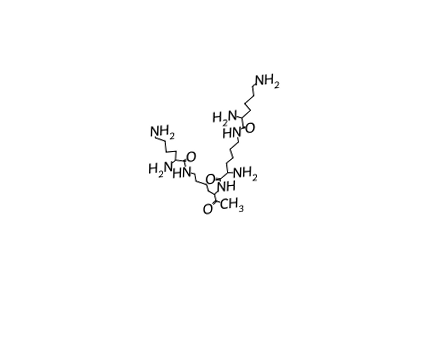 CC(=O)C(CCCCNC(=O)C(N)CCCCN)NC(=O)C(N)CCCCNC(=O)C(N)CCCCN